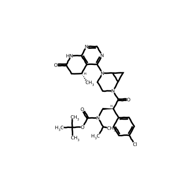 CC(C)N(C[C@@H](C(=O)N1CCN(c2ncnc3c2[C@H](C)CC(=O)N3)C2CC21)c1ccc(Cl)cc1)C(=O)OC(C)(C)C